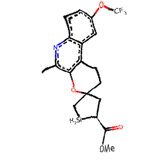 COC(=O)[C@@H]1CC2(CCc3c(c(C)nc4ccc(OC(F)(F)F)cc34)O2)C[SiH2]1